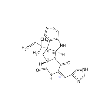 C=CC(C)(C)[C@@]12C[C@H]3C(=O)N/C(=C/c4c[nH]cn4)C(=O)N3[C@@H]1Nc1ccccc12